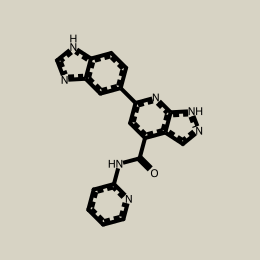 O=C(Nc1ccccn1)c1cc(-c2ccc3[nH]cnc3c2)nc2[nH]ncc12